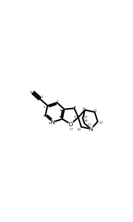 C#Cc1cnc2c(c1)CC1(CN3CCC1CC3)O2